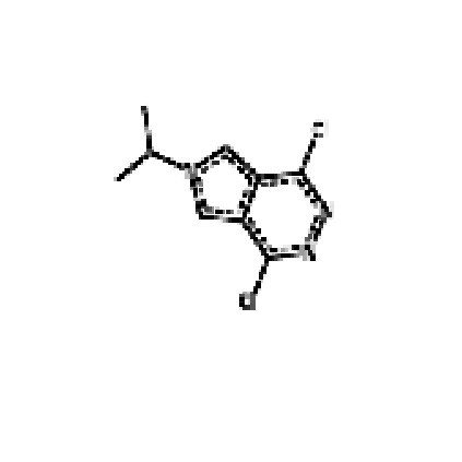 CC(C)n1cc2c(Cl)nnc(Cl)c2c1